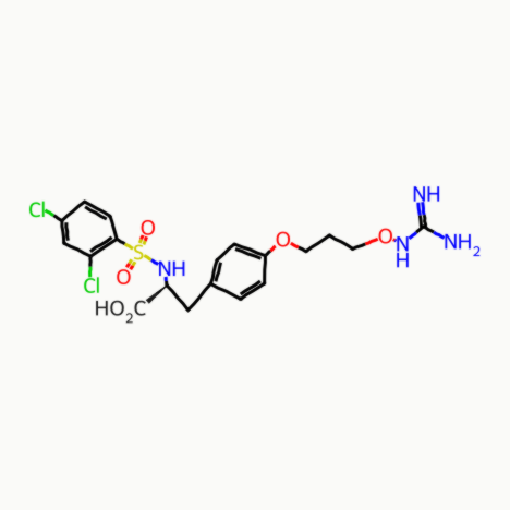 N=C(N)NOCCCOc1ccc(C[C@H](NS(=O)(=O)c2ccc(Cl)cc2Cl)C(=O)O)cc1